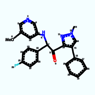 COc1cncc(NC(C(=O)c2nn(C)cc2-c2ccccc2)c2ccc(F)cc2)c1